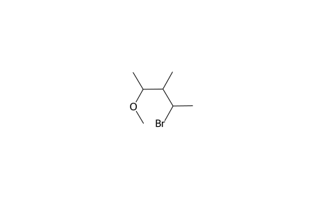 COC(C)C(C)C(C)Br